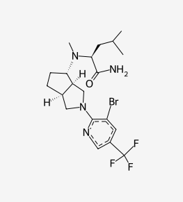 CC(C)C[C@@H](C(N)=O)N(C)[C@H]1CC[C@@H]2CN(c3ncc(C(F)(F)F)cc3Br)C[C@@H]21